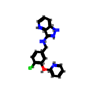 Clc1ccc(CNc2n[nH]c3cccnc23)cc1Oc1ccccn1